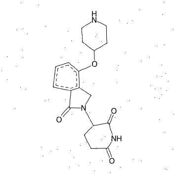 O=C1CCC(N2Cc3c(OC4CCNCC4)cccc3C2=O)C(=O)N1